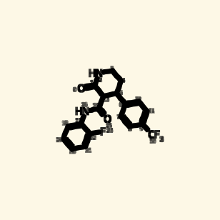 O=C1NCCC(c2ccc(C(F)(F)F)cc2)C1C(=O)Nc1ccccc1F